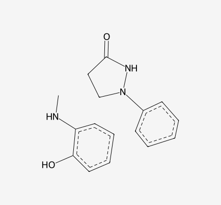 CNc1ccccc1O.O=C1CCN(c2ccccc2)N1